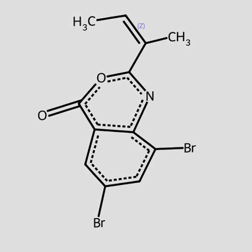 C/C=C(/C)c1nc2c(Br)cc(Br)cc2c(=O)o1